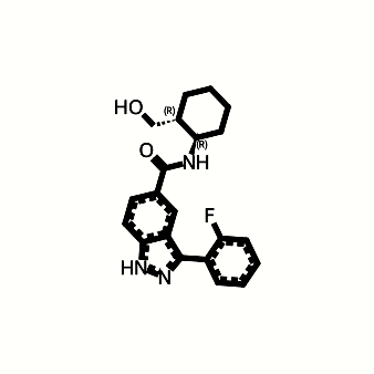 O=C(N[C@@H]1CCCC[C@H]1CO)c1ccc2[nH]nc(-c3ccccc3F)c2c1